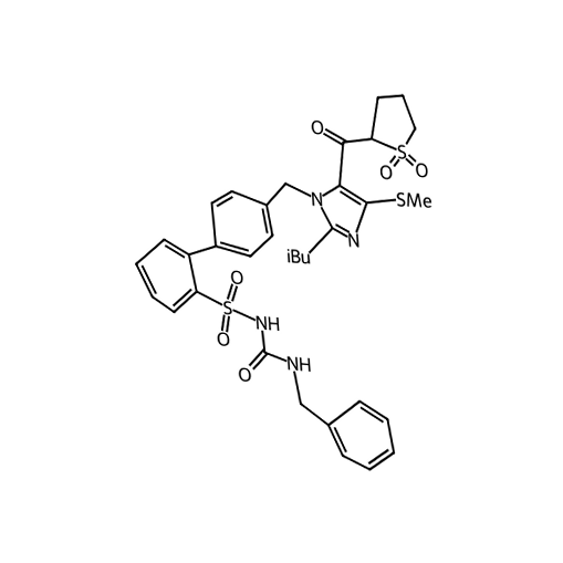 CCC(C)c1nc(SC)c(C(=O)C2CCCS2(=O)=O)n1Cc1ccc(-c2ccccc2S(=O)(=O)NC(=O)NCc2ccccc2)cc1